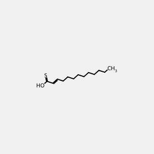 CCCCCCCCCCC=CC(O)=S